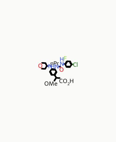 CCCN(c1ccc(C(COC)CC(=O)O)cc1NC(=O)Nc1ccc(Cl)cc1F)C1CCOCC1